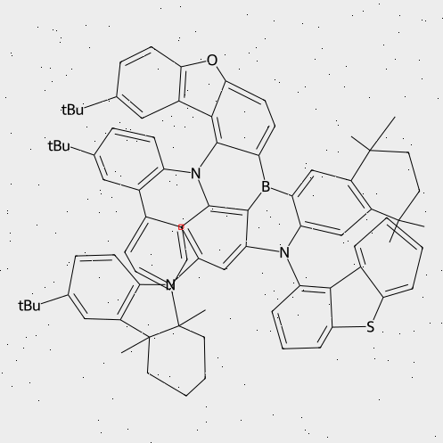 CC(C)(C)c1ccc(N2c3cc(N4c5ccc(C(C)(C)C)cc5C5(C)CCCCC45C)cc4c3B(c3cc5c(cc3N4c3cccc4sc6ccccc6c34)C(C)(C)CCC5(C)C)c3ccc4oc5ccc(C(C)(C)C)cc5c4c32)c(-c2ccccc2)c1